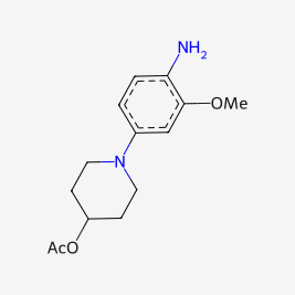 COc1cc(N2CCC(OC(C)=O)CC2)ccc1N